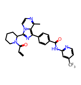 C=CC(=O)N1CCCCC1c1nc(-c2ccc(C(=O)Nc3cc(C(F)(F)F)ccn3)cc2)c2c(C)nccn12